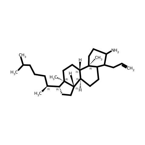 C=CCC1C(N)CC[C@@]2(C)C1CC[C@H]1[C@@H]3CC[C@H]([C@@H](C)CCCC(C)C)[C@@]3(C)CC[C@@H]12